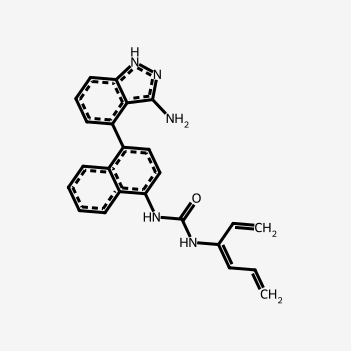 C=C/C=C(\C=C)NC(=O)Nc1ccc(-c2cccc3[nH]nc(N)c23)c2ccccc12